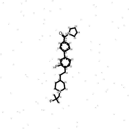 CC(C)(F)CN1CCC(CCc2ccc(-c3ccc(C(=O)N4CCCC4)cc3)cc2F)CC1